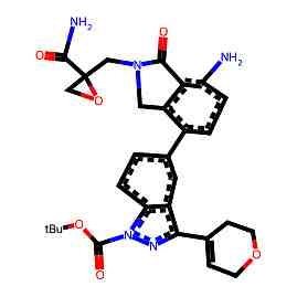 CC(C)(C)OC(=O)n1nc(C2=CCOCC2)c2cc(-c3ccc(N)c4c3CN(CC3(C(N)=O)CO3)C4=O)ccc21